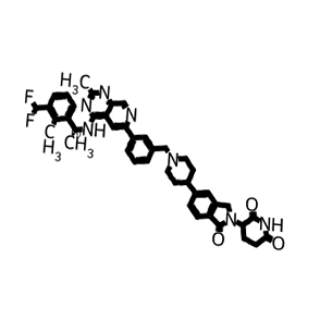 Cc1nc(N[C@H](C)c2cccc(C(F)F)c2C)c2cc(-c3cccc(CN4CCC(c5ccc6c(c5)CN(C5CCC(=O)NC5=O)C6=O)CC4)c3)ncc2n1